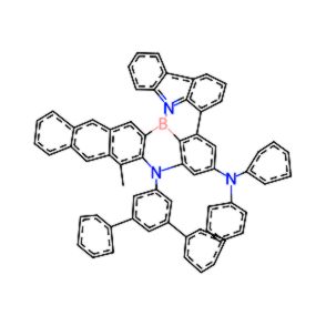 Cc1c2c(cc3cc4ccccc4cc13)B1c3c(cc(N(c4ccccc4)c4ccccc4)cc3N2c2cc(-c3ccccc3)cc(-c3ccccc3)c2)-c2cccc3c4ccccc4n1c23